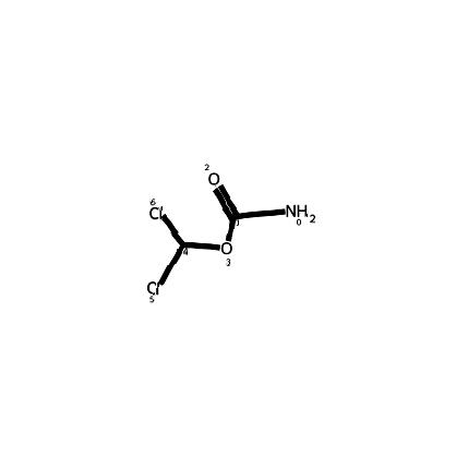 NC(=O)OC(Cl)Cl